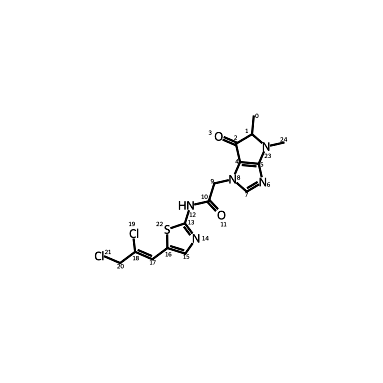 CC1C(=O)c2c(ncn2CC(=O)Nc2ncc(C=C(Cl)CCl)s2)N1C